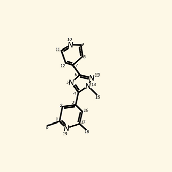 Cc1cc(-c2nc(-c3ccncc3)nn2C)cc(C)n1